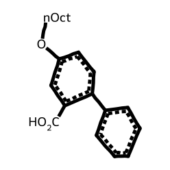 CCCCCCCCOc1ccc(-c2ccccc2)c(C(=O)O)c1